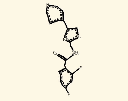 O=C(Nc1nc(-c2ccncc2)cs1)c1ccc(F)cc1F